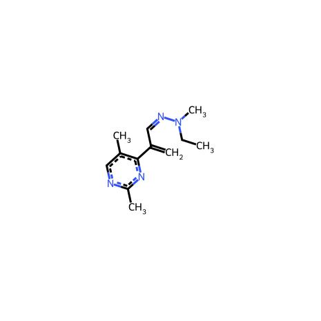 C=C(/C=N\N(C)CC)c1nc(C)ncc1C